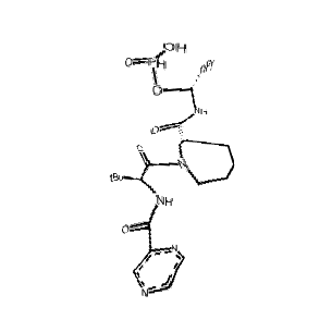 CCC[C@H](NC(=O)[C@@H]1CCCCN1C(=O)[C@@H](NC(=O)c1cnccn1)C(C)(C)C)O[PH](=O)O